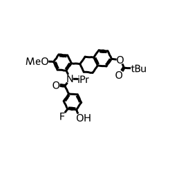 COc1ccc(C2CCc3cc(OC(=O)C(C)(C)C)ccc3C2)c(N(C(=O)c2ccc(O)c(F)c2)C(C)C)c1